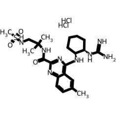 Cc1ccc2nc(C(=O)NC(C)(C)CNS(C)(=O)=O)nc(N[C@H]3CCCC[C@H]3NC(=N)N)c2c1.Cl.Cl